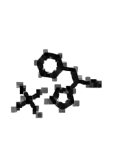 CCCCC(=Cc1ccccc1)n1ccnc1.F[B-](F)(F)F